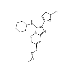 COOCc1ccn2c(NC3CCCCC3)c(C3=CCC(Cl)O3)nc2c1